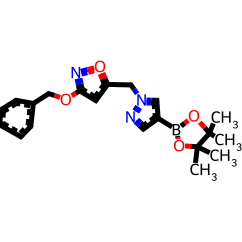 CC1(C)OB(c2cnn(Cc3cc(OCc4ccccc4)no3)c2)OC1(C)C